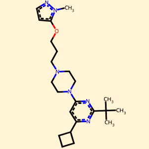 Cn1nccc1OCCCN1CCN(c2cc(C3CCC3)nc(C(C)(C)C)n2)CC1